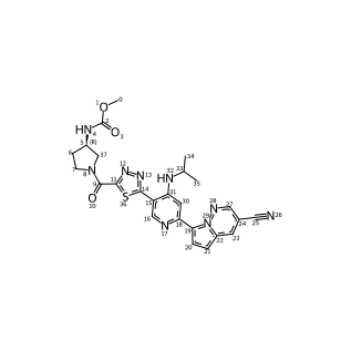 COC(=O)N[C@@H]1CCN(C(=O)c2nnc(-c3cnc(-c4ccc5cc(C#N)cnn45)cc3NC(C)C)s2)C1